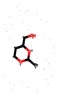 CC(C)C1OCCC(CO)O1